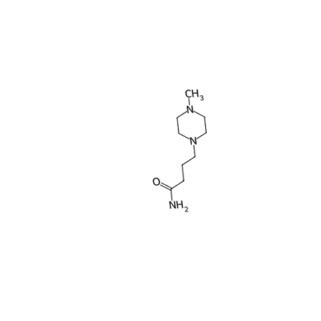 CN1CCN(CCCC(N)=O)CC1